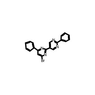 Brc1cc(-c2ccccc2)nc(-c2cnc(-c3ccccc3)nc2)n1